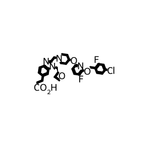 O=C(O)CCc1ccc2nc(CN3CCC(Oc4ccc(F)c(OCc5ccc(Cl)cc5F)n4)CC3)n(C[C@@H]3CCO3)c2c1